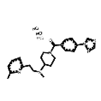 Cc1cccc(CCN(C)C2CCN(C(=O)c3ccc(-n4cncn4)cc3)CC2)n1.Cl.Cl.Cl